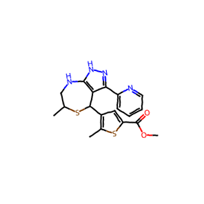 COC(=O)c1cc(C2SC(C)CNc3[nH]nc(-c4ccccn4)c32)c(C)s1